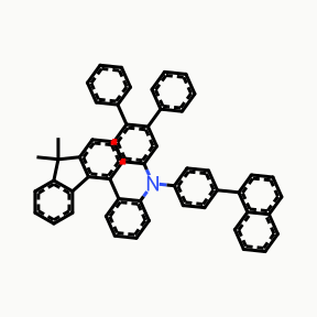 CC1(C)c2ccccc2-c2c(-c3ccccc3N(c3ccc(-c4cccc5ccccc45)cc3)c3ccc(-c4ccccc4)c(-c4ccccc4)c3)cccc21